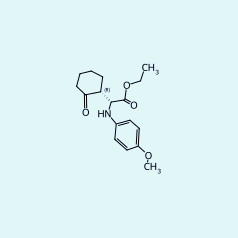 CCOC(=O)C(Nc1ccc(OC)cc1)[C@H]1CCCCC1=O